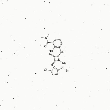 CC[C@@H](Nc1c(Nc2cccc(C(=O)N(C)C)c2O)c(=O)c1=O)c1ccc(Cl)o1